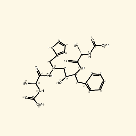 COC(=O)N[C@H](C(=O)NC(Cc1ccccc1)[C@@H](O)CN(Cc1cccs1)NC(=O)[C@@H](NC(=O)OC)C(C)C)C(C)C